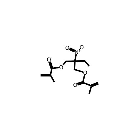 C=C(C)C(=O)OCC(CC)(COC(=O)C(=C)C)[N+](=O)[O-]